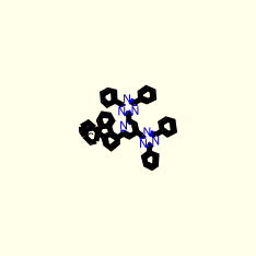 c1ccc(-c2nc(-c3ccccc3)nc(-c3cc(-c4nc(-c5ccccc5)nc(-c5ccccc5)n4)nc(-c4cccc5c4-c4ccccc4C54C5CC6CC(C5)CC4C6)c3)n2)cc1